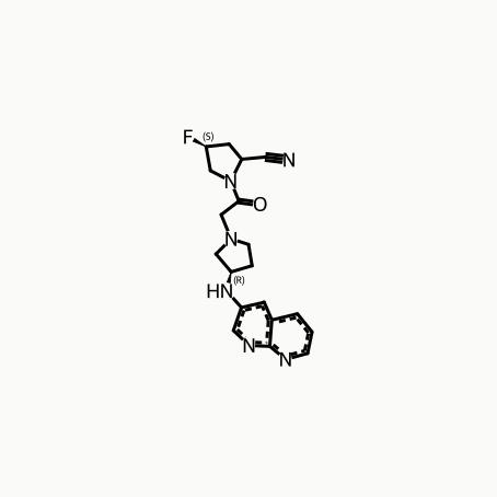 N#CC1C[C@H](F)CN1C(=O)CN1CC[C@@H](Nc2cnc3ncccc3c2)C1